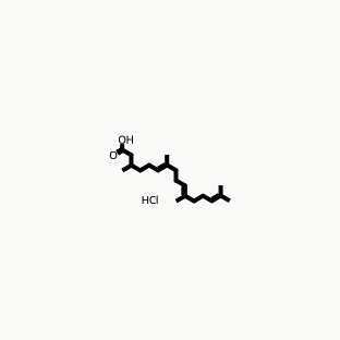 CC(C)=CCCC(C)=CCCC(C)=CCCC(C)CC(=O)O.Cl